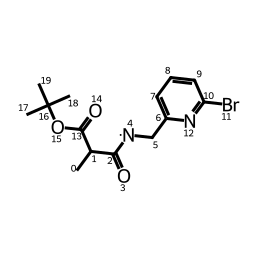 CC(C(=O)[N]Cc1cccc(Br)n1)C(=O)OC(C)(C)C